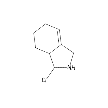 ClC1NCC2=CCCCC21